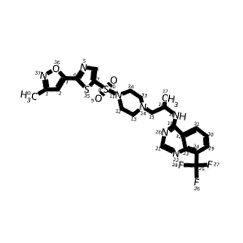 Cc1cc(-c2ncc(S(=O)(=O)N3CCN(CC(C)Nc4ncnc5c(C(F)(F)F)cccc45)CC3)s2)on1